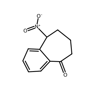 O=C1CCCC([N+](=O)[O-])c2ccccc21